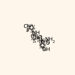 NC(=O)c1nn(CC(=O)N(CC(=O)NCc2cccc(Cl)c2F)C2CC2)c2ccc(O)cc12